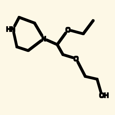 CCOC(COCCO)N1CCNCC1